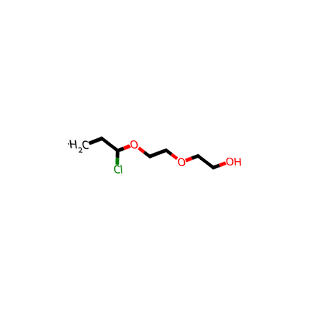 [CH2]CC(Cl)OCCOCCO